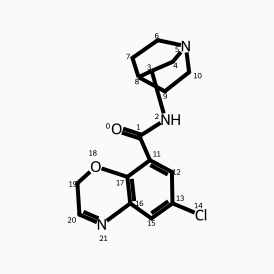 O=C(NC1CN2CCC1CC2)c1cc(Cl)cc2c1OCC=N2